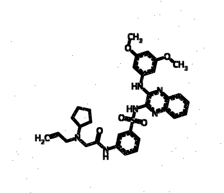 C=CCN(CC(=O)Nc1cccc(S(=O)(=O)Nc2nc3ccccc3nc2Nc2cc(OC)cc(OC)c2)c1)C1CCCC1